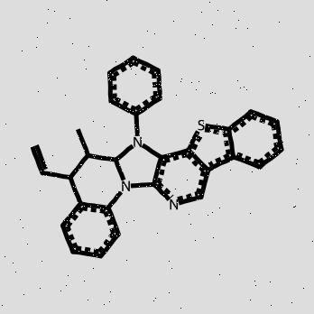 C=CC1c2ccccc2N2c3ncc4c(sc5ccccc54)c3N(c3ccccc3)C2C1C